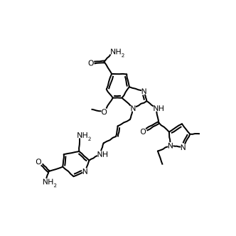 CCn1nc(C)cc1C(=O)Nc1nc2cc(C(N)=O)cc(OC)c2n1C/C=C/CNc1ncc(C(N)=O)cc1N